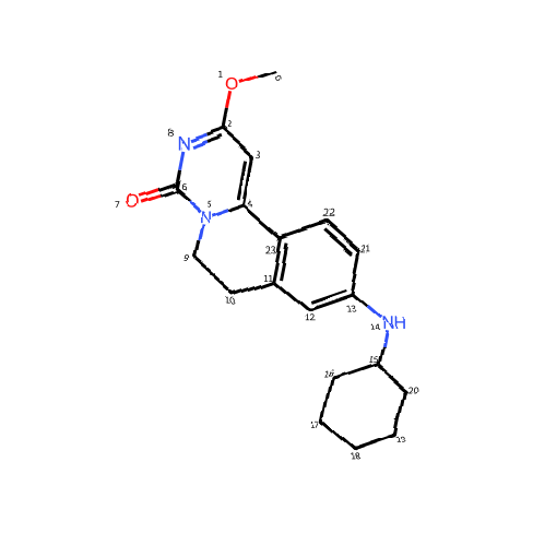 COc1cc2n(c(=O)n1)CCc1cc(NC3CCCCC3)ccc1-2